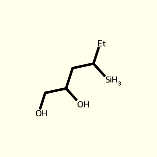 CCC([SiH3])CC(O)CO